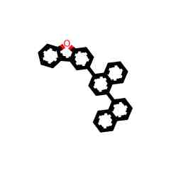 c1ccc2c(-c3ccc(-c4ccc5oc6ccccc6c5c4)c4ccccc34)cccc2c1